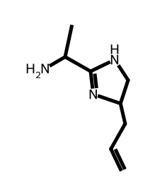 C=CCC1CNC(C(C)N)=N1